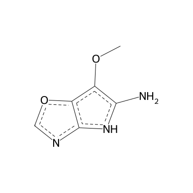 COc1c(N)[nH]c2ncoc12